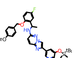 COc1ccc(COc2ccc(F)cc2C(C)Nc2ccc3nc(-c4cncc(O[Si](C)(C)C(C)(C)C)c4)cn3n2)cc1